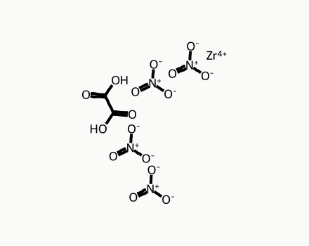 O=C(O)C(=O)O.O=[N+]([O-])[O-].O=[N+]([O-])[O-].O=[N+]([O-])[O-].O=[N+]([O-])[O-].[Zr+4]